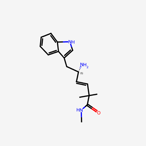 CNC(=O)C(C)(C)C=C[C@@H](N)Cc1c[nH]c2ccccc12